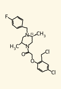 CC1CN(Cc2ccc(F)cc2)[C@@H](C)CN1C(=O)COc1ccc(Cl)cc1CCl